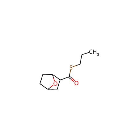 CCCSC(=O)C1CC2CCC1O2